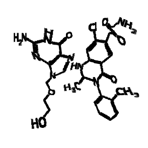 Cc1ccccc1N1C(=O)c2cc(S(N)(=O)=O)c(Cl)cc2NC1C.Nc1nc2c(ncn2COCCO)c(=O)[nH]1